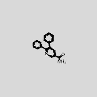 NC(=O)c1cnc(-c2ccccc2)c(-c2ccccc2)c1